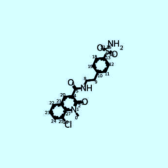 Cn1c(=O)c(C(=O)NCCc2ccc(S(N)(=O)=O)cc2)cc2cccc(Cl)c21